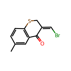 Cc1ccc2c(c1)C(=O)C(=CBr)CS2